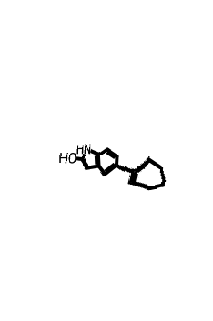 Oc1cc2cc(C3CCCCC3)ccc2[nH]1